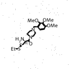 CCSSC[C@H](N)C(=O)N1CCN(Cc2ccc(OC)c(OC)c2OC)CC1